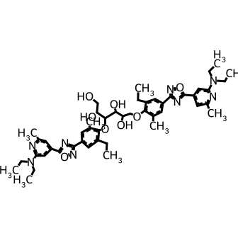 CCc1cc(-c2noc(-c3cc(C)nc(N(CC)CC)c3)n2)cc(C)c1OCC(O)C(O)C(Oc1c(C)cc(-c2noc(-c3cc(C)nc(N(CC)CC)c3)n2)cc1CC)C(O)CO